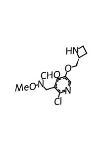 CON(C=O)Cc1cc(OC[C@@H]2CCN2)cnc1Cl